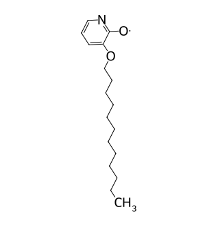 CCCCCCCCCCCCOc1cccnc1[O]